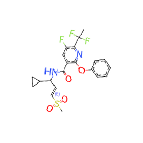 CC(F)(F)c1nc(Oc2ccccc2)c(C(=O)NC(/C=C/S(C)(=O)=O)C2CC2)cc1F